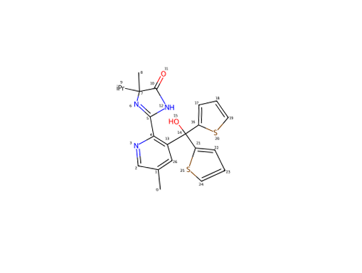 Cc1cnc(C2=NC(C)(C(C)C)C(=O)N2)c(C(O)(c2cccs2)c2cccs2)c1